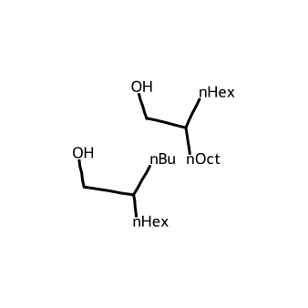 CCCCCCC(CO)CCCC.CCCCCCCCC(CO)CCCCCC